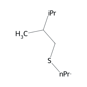 CC[CH]SCC(C)C(C)C